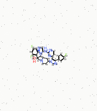 Nc1nccc(-c2c(-c3ccc(F)cc3)ncn2C2CCN(C[C@](O)(Cn3ccnn3)c3ccc(F)cc3F)CC2)n1